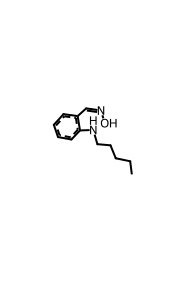 CCCCCNc1ccccc1/C=N\O